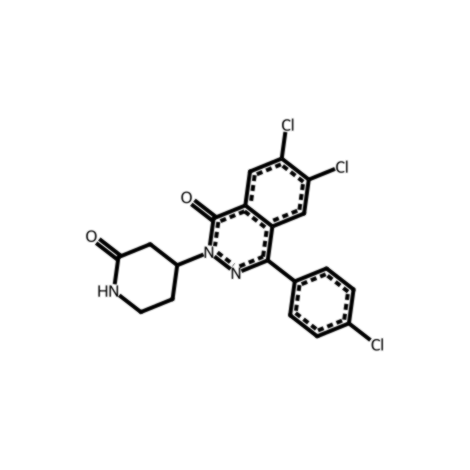 O=C1CC(n2nc(-c3ccc(Cl)cc3)c3cc(Cl)c(Cl)cc3c2=O)CCN1